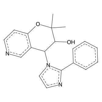 CC1(C)Oc2ccncc2C(n2ccnc2-c2ccccc2)C1O